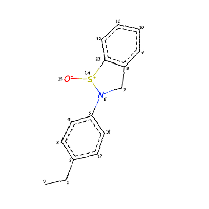 CCc1ccc(N2Cc3ccccc3[S+]2[O-])cc1